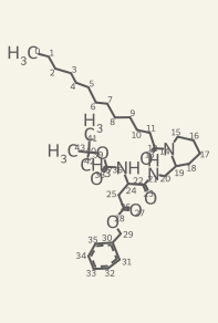 CCCCCCCCCCCCC(=O)N1CCCCC1CNC(=O)C(CC(=O)OCc1ccccc1)NC(=O)OC(C)(C)C